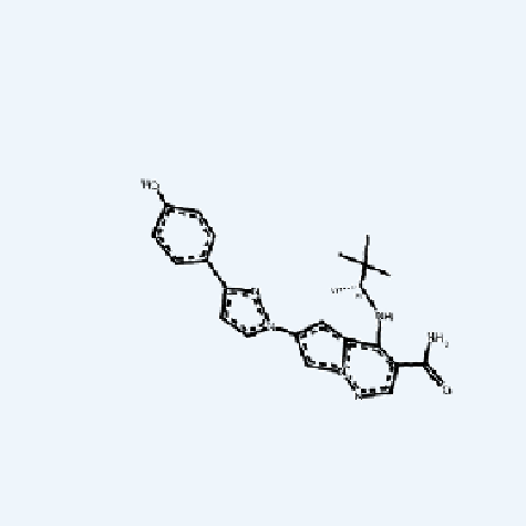 C[C@@H](Nc1c(C(N)=O)cnn2cc(-n3ccc(-c4ccc(O)cc4)n3)cc12)C(C)(C)C